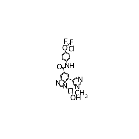 C[C@]1(O)C[C@H](n2cnc3cc(C(=O)Nc4ccc(OC(F)(F)Cl)cc4)cc(-c4cncnc4)c32)C1